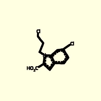 O=C(O)c1cc2ccc(Cl)cc2n1CCCCl